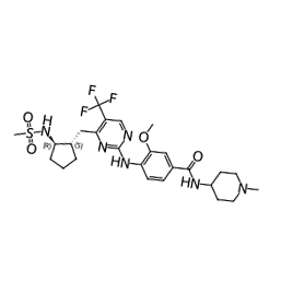 COc1cc(C(=O)NC2CCN(C)CC2)ccc1Nc1ncc(C(F)(F)F)c(C[C@@H]2CCC[C@H]2NS(C)(=O)=O)n1